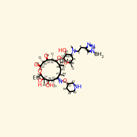 Bn1cc(CCN(C)[C@H]2C[C@@H](C)O[C@@H](O[C@@H]3[C@@H](C)C(=O)[C@@H](C)C(=O)O[C@H](CC)[C@@](C)(O)[C@H](O)[C@@H](C)/C(=N/O[C@@H]4CCCNC4)[C@H](C)C[C@@]3(C)OC)[C@@H]2O)nn1